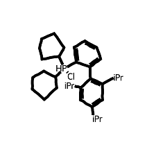 CC(C)c1cc(C(C)C)c(-c2ccccc2[PH](Cl)(C2CCCCC2)C2CCCCC2)c(C(C)C)c1